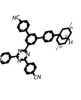 C[C@@H]1C[C@@H]2C[C@H](C)CC(c3ccc(-c4cc(-c5ccc(C#N)cc5)cc(-c5nc(-c6ccncc6)nc(-c6ccc(C#N)cc6)n5)c4)cc3)(C1)C2